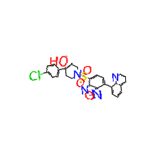 O=S(=O)(c1ccc(-c2cccc3cccnc23)c2nonc12)N1CCC(O)(c2ccc(Cl)cc2)CC1